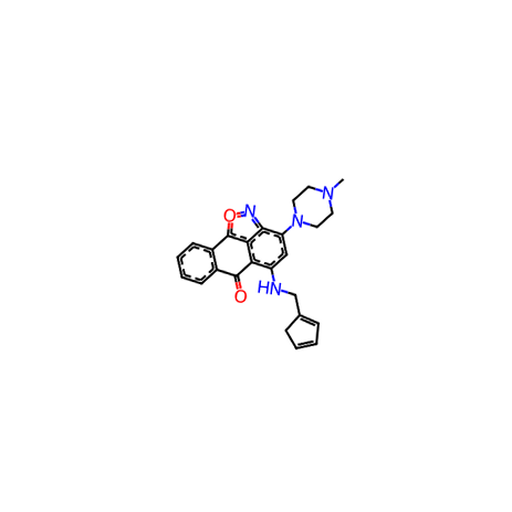 CN1CCN(c2cc(NCC3=CC=CC3)c3c4c(onc24)-c2ccccc2C3=O)CC1